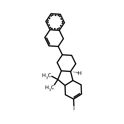 CC1(C)C2CC(I)=CCC2[C@@H]2CCC(C3C=Cc4ccccc4C3)CC21